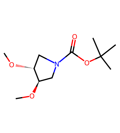 CO[C@@H]1CN(C(=O)OC(C)(C)C)C[C@H]1OC